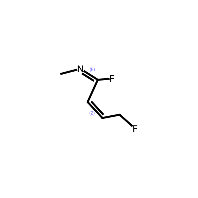 C/N=C(F)\C=C/CF